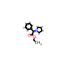 CCOC(=O)C(c1ccccc1)N1CCCC1